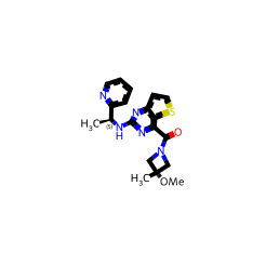 COC1(C)CN(C(=O)c2nc(N[C@@H](C)c3ccccn3)nc3ccsc23)C1